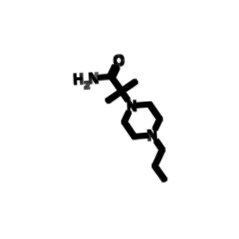 CCCN1CCN(C(C)(C)C(N)=O)CC1